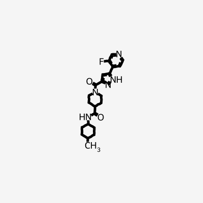 CC1CCC(NC(=O)C2CCN(C(=O)c3cc(-c4ccncc4F)[nH]n3)CC2)CC1